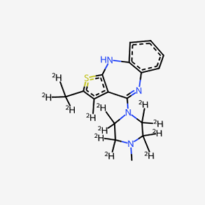 [2H]c1c(C([2H])([2H])[2H])sc2c1C(N1C([2H])([2H])C([2H])([2H])N(C)C([2H])([2H])C1([2H])[2H])=Nc1ccccc1N2